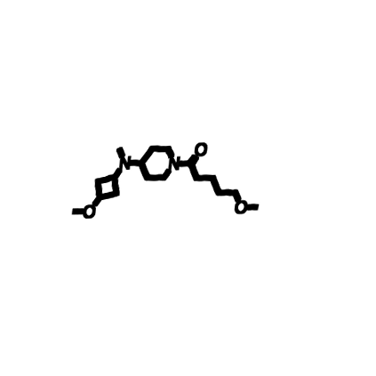 COCCCCC(=O)N1CCC(N(C)C2CC(OC)C2)CC1